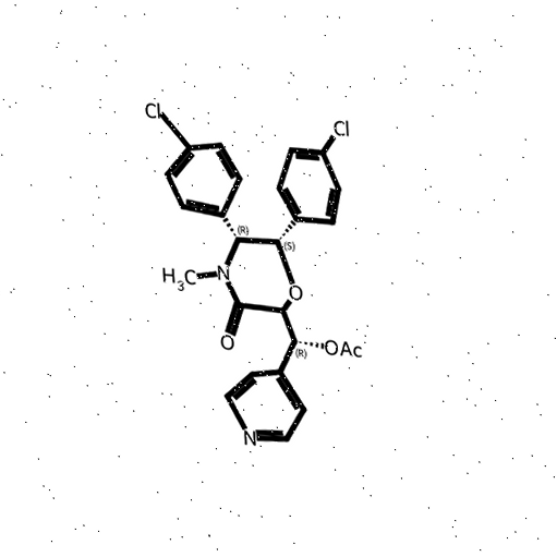 CC(=O)O[C@H](c1ccncc1)C1O[C@@H](c2ccc(Cl)cc2)[C@@H](c2ccc(Cl)cc2)N(C)C1=O